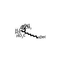 CCCCCCCCCCCCCCCCCCC(C(=O)O)C1CC(C)(C)N(OCCCCCCCC)C(C)(C)C1